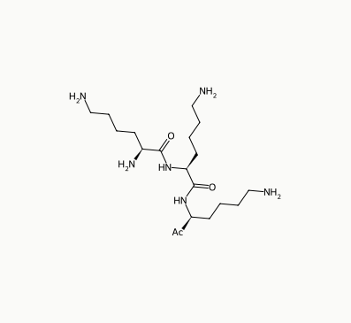 CC(=O)[C@H](CCCCN)NC(=O)[C@H](CCCCN)NC(=O)[C@@H](N)CCCCN